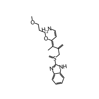 C=C(CS(=C)c1nc2ccccc2[nH]1)/C(C)=C(\C=C/N)OCCCOC